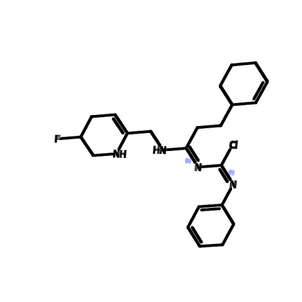 FC1CC=C(CN/C(CCC2C=CCCC2)=N/C(Cl)=N\C2=CC=CCC2)NC1